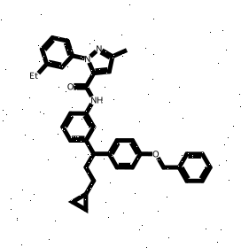 CCc1cccc(-n2nc(C)cc2C(=O)Nc2cccc(C(CCC3CC3)c3ccc(OCc4ccccc4)cc3)c2)c1